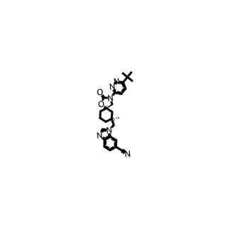 CC(C)(C)c1ccc(N2C[C@@]3(CCC[C@](C)(Cn4cnc5ccc(C#N)cc54)C3)OC2=O)nn1